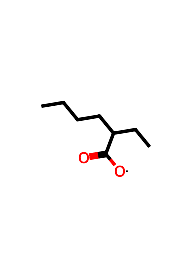 CCCCC(CC)C([O])=O